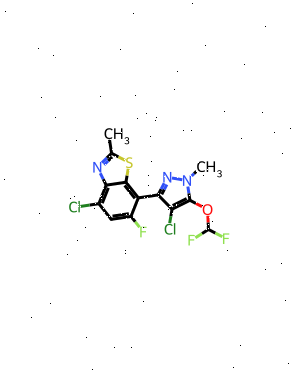 Cc1nc2c(Cl)cc(F)c(-c3nn(C)c(OC(F)F)c3Cl)c2s1